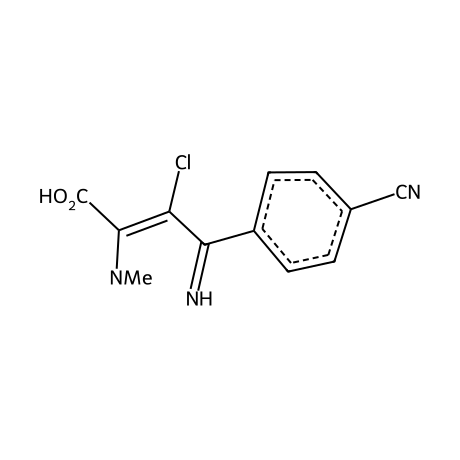 CN/C(C(=O)O)=C(/Cl)C(=N)c1ccc(C#N)cc1